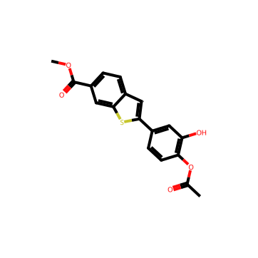 COC(=O)c1ccc2[c]c(-c3ccc(OC(C)=O)c(O)c3)sc2c1